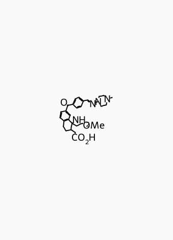 COCCC1(N)c2cc(C(=O)c3ccc(C=NN4CCN(C)CC4)cc3)ccc2CCC1CC(=O)O